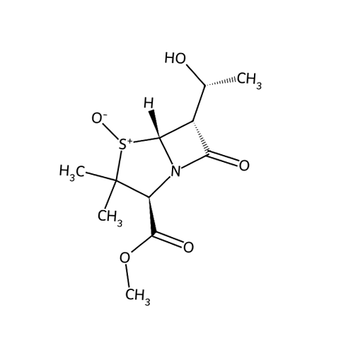 COC(=O)[C@@H]1N2C(=O)[C@@H]([C@@H](C)O)[C@H]2[S+]([O-])C1(C)C